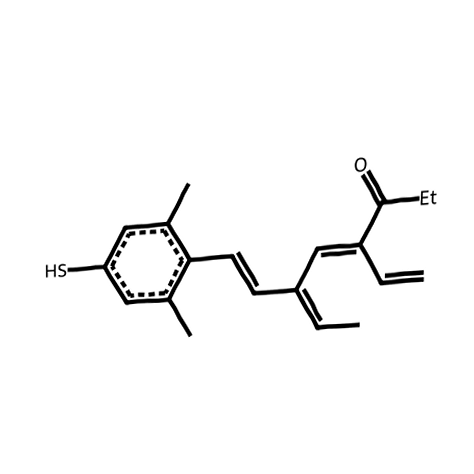 C=C\C(=C/C(=C\C)/C=C/c1c(C)cc(S)cc1C)C(=O)CC